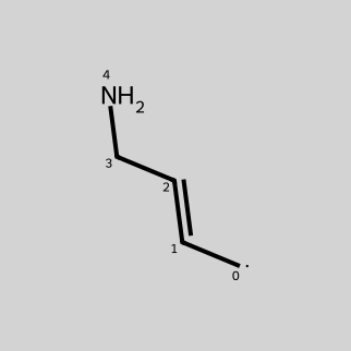 [CH2]/C=C/CN